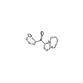 O=C(c1ccco1)c1ccc2ccccn12